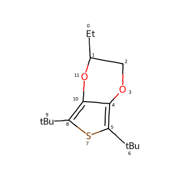 CCC1COc2c(C(C)(C)C)sc(C(C)(C)C)c2O1